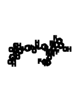 CCc1c(F)ccc2cc(O)cc(-c3ncc4c(N5CCCC(CNC(=O)CN6CCC(c7ccc8c(c7)n(C)c(=O)n8C7CCC(=O)NC7=O)CC6)C5)nc(OC[C@@]56CCCN5C[C@H](F)C6)nc4c3F)c12